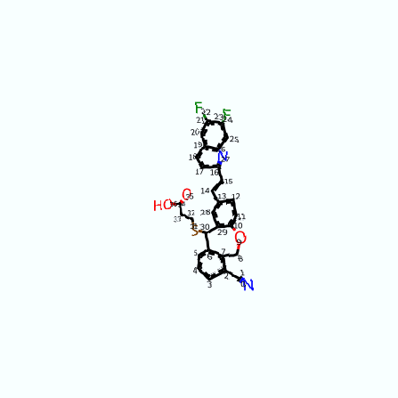 N#Cc1cccc2c1COc1ccc(C=Cc3ccc4cc(F)c(F)cc4n3)cc1C2SCCC(=O)O